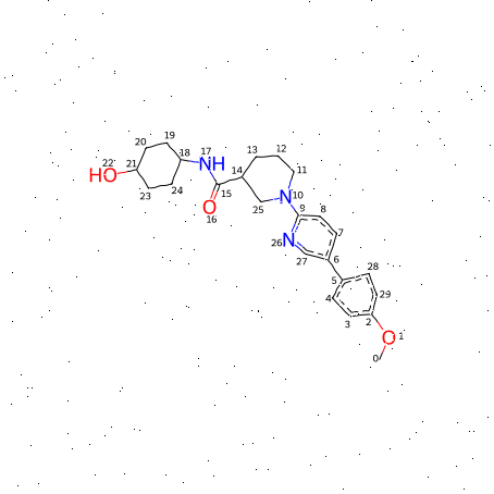 COc1ccc(-c2ccc(N3CCCC(C(=O)NC4CCC(O)CC4)C3)nc2)cc1